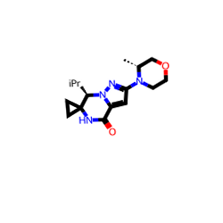 CC(C)[C@H]1n2nc(N3CCOC[C@H]3C)cc2C(=O)NC12CC2